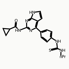 CCCNC(=S)Nc1ccc(-c2nc(NC(=O)C3CC3)nc3[nH]ccc23)cc1